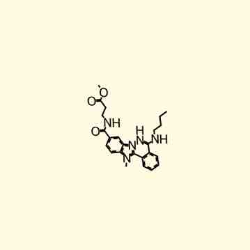 CCCCNC(=N)c1ccccc1-c1nc2cc(C(=O)NCCC(=O)OC)ccc2n1C